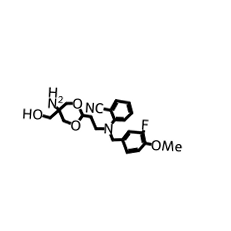 COc1ccc(CN(CCC2OCC(N)(CO)CO2)c2ccccc2C#N)cc1F